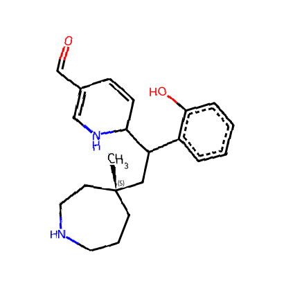 C[C@@]1(CC(c2ccccc2O)C2C=CC(C=O)=CN2)CCCNCC1